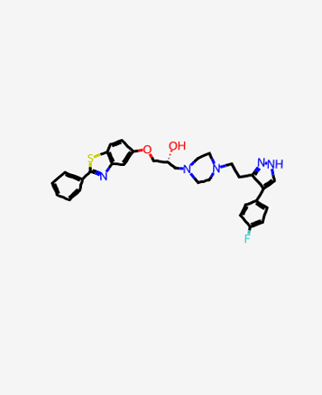 O[C@@H](COc1ccc2sc(-c3ccccc3)nc2c1)CN1CCN(CCc2n[nH]cc2-c2ccc(F)cc2)CC1